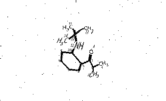 CC(C)C(=O)C1CCCCC1NC(C)(C)C